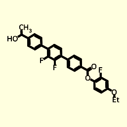 CCOc1ccc(OC(=O)c2ccc(-c3ccc(-c4ccc(C(C)O)cc4)c(F)c3F)cc2)c(F)c1